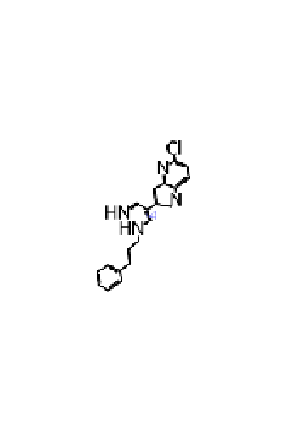 N=C/C(=C\NCCCc1ccccc1)c1cnc2ccc(Cl)nc2c1